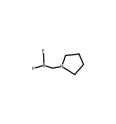 FB(F)CN1CCCC1